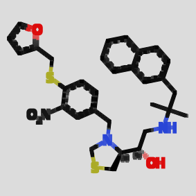 CC(C)(Cc1ccc2ccccc2c1)NC[C@H](O)[C@H]1CSCN1Cc1ccc(SCc2ccco2)c([N+](=O)[O-])c1